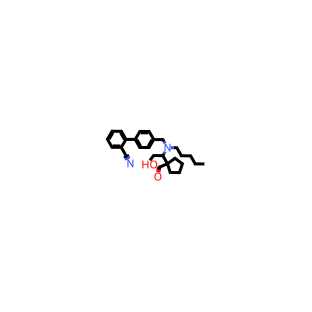 CCCCCN(Cc1ccc(-c2ccccc2C#N)cc1)C(CC)C1(C(=O)O)CCCC1